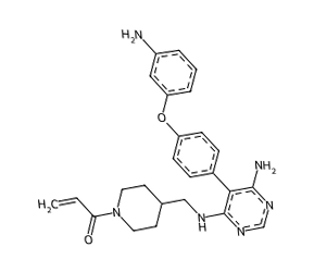 C=CC(=O)N1CCC(CNc2ncnc(N)c2-c2ccc(Oc3cccc(N)c3)cc2)CC1